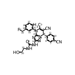 CC1=C(C#N)[C@@H](c2ccc(C#N)cc2)n2nc(NC(=O)NCCO)nc2N1c1cccc(CF)c1